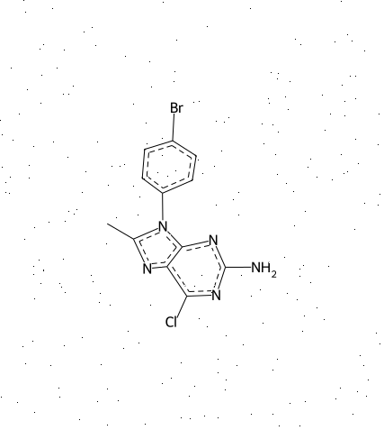 Cc1nc2c(Cl)nc(N)nc2n1-c1ccc(Br)cc1